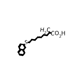 C=C(CCCCCCCSc1ccc2ccccc2c1)C(=O)O